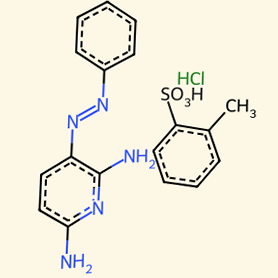 Cc1ccccc1S(=O)(=O)O.Cl.Nc1ccc(/N=N/c2ccccc2)c(N)n1